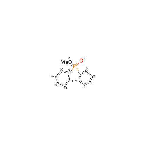 COP(=O)(c1ccccc1)c1ccccc1